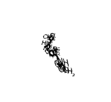 CCC(NCCc1ccc(Oc2ccc(NCc3ccc(Cl)c(Cl)c3)cn2)cc1C(F)(F)F)C(=O)O